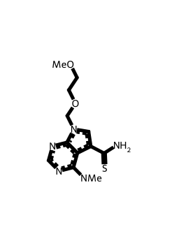 CNc1ncnc2c1c(C(N)=S)cn2COCCOC